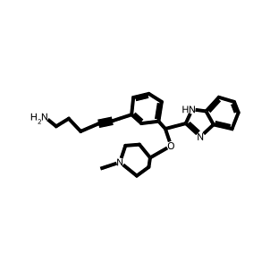 CN1CCC(OC(c2cccc(C#CCCCN)c2)c2nc3ccccc3[nH]2)CC1